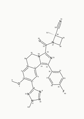 COc1cc2c(cc1-c1nnn(C)n1)-c1c(-c3ccc(F)cc3)nc(C(=O)N3CC[C@]3(C)C#N)n1CC2